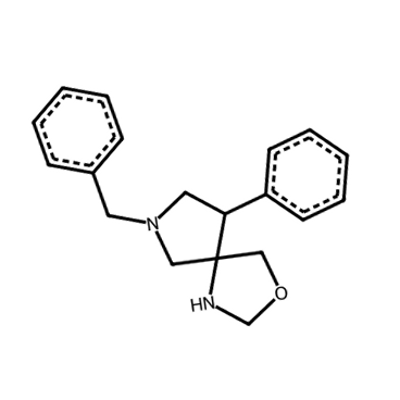 c1ccc(CN2CC(c3ccccc3)C3(COCN3)C2)cc1